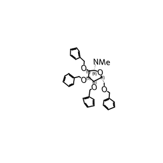 CN[C@@H]1O[C@H](COCc2ccccc2)[C@H](OCc2ccccc2)[C@H](OCc2ccccc2)[C@H]1OCc1ccccc1